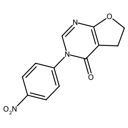 O=c1c2c(ncn1-c1ccc([N+](=O)[O-])cc1)OCC2